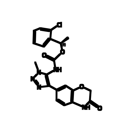 C[C@@H](OC(=O)Nc1c(-c2ccc3c(c2)OCC(=O)N3)nnn1C)c1ccccc1Cl